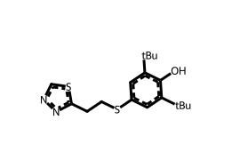 CC(C)(C)c1cc(SCCc2nncs2)cc(C(C)(C)C)c1O